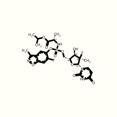 Cc1noc2cc(F)c(OP(=O)(N[C@@H](C)C(=O)OC(C)C)OC[C@H]3O[C@@H](n4ccc(=O)[nH]c4=O)[C@](C)(F)[C@@H]3O)cc12